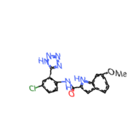 COc1ccc2cc(C(=O)Nc3ccc(Cl)cc3-c3nnn[nH]3)[nH]c2c1